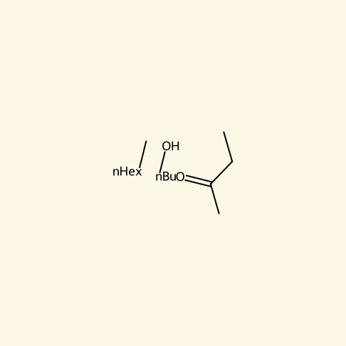 CCC(C)=O.CCCCCCC.CCCCO